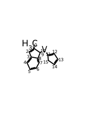 CC1=Cc2ccccc2[CH]1[V][C]1=CC=CC1